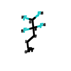 CC(C)CCC(F)(F)C(F)F